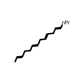 [CH2]C=CCCC=CCC=CCC=CCCC